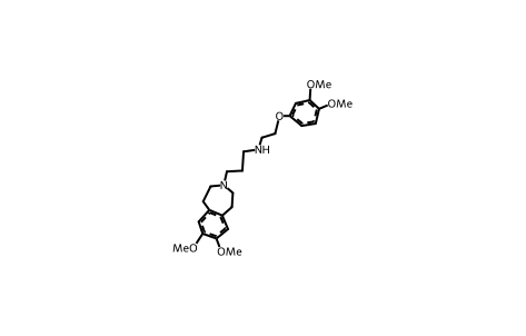 COc1ccc(OCCNCCCN2CCc3cc(OC)c(OC)cc3CC2)cc1OC